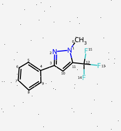 Cn1nc(-c2ccccc2)cc1C(F)(F)F